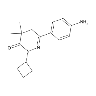 CC1(C)CC(c2ccc(N)cc2)=NN(C2CCC2)C1=O